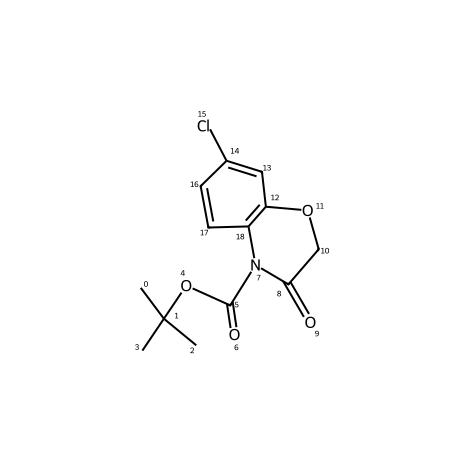 CC(C)(C)OC(=O)N1C(=O)COc2cc(Cl)ccc21